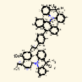 CC/C=C(\C=C/CN1c2ccccc2C(C)(C)c2ccccc21)c1ccc(/C=C/c2ccc(-c3c4ccccc4c(N4c5ccccc5C(C)(C)c5ccccc54)c4ccccc34)cc2)cc1C(C)(C)C